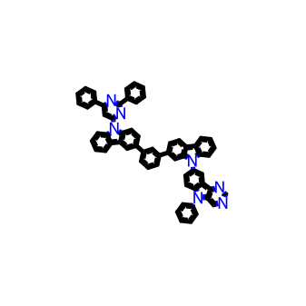 c1ccc(-c2cc(-n3c4ccccc4c4cc(-c5cccc(-c6ccc7c8ccccc8n(-c8ccc9c(c8)c8ncncc8n9-c8ccccc8)c7c6)c5)ccc43)nc(-c3ccccc3)n2)cc1